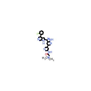 CN(C)CC(=O)Nc1cncc(-c2cnc3[nH]nc(-c4cc5c(-c6ccccc6F)cncc5[nH]4)c3c2)c1